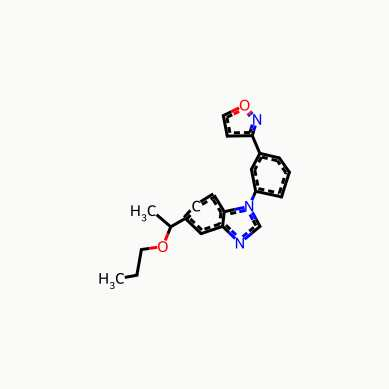 CCCOC(C)c1ccc2c(c1)ncn2-c1cccc(-c2ccon2)c1